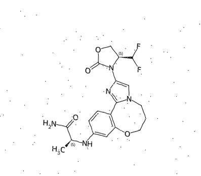 C[C@H](Nc1ccc2c(c1)OCCCn1cc(N3C(=O)OC[C@H]3C(F)F)nc1-2)C(N)=O